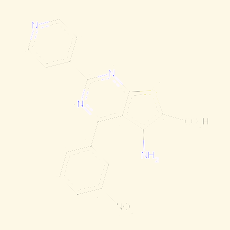 Nc1c(C(=O)O)sc2nc(-c3ccncc3)nc(-c3cccc([N+](=O)[O-])c3)c12